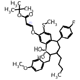 CCCCC1CC(c2ccc(F)cc2)c2cc(SC)c(O/C=C/C(=O)OC(C)(C)C)cc2S(O)(O)C1Cc1ccc(OC)cc1